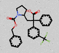 O=C(OCc1ccccc1)N1CCCC1CC(C(=O)O)(c1ccccc1)c1cccc(C(F)(F)F)c1